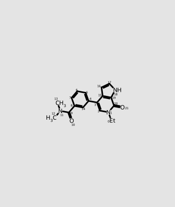 CCn1cc(-c2cccc(C(=O)N(C)C)c2)c2cc[nH]c2c1=O